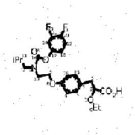 CCOC(Cc1ccc(OCCN(CC(C)C)C(=O)Oc2ccc(F)c(F)c2)cc1)C(=O)O